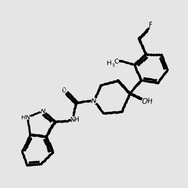 Cc1c(CF)cccc1C1(O)CCN(C(=O)Nc2n[nH]c3ccccc23)CC1